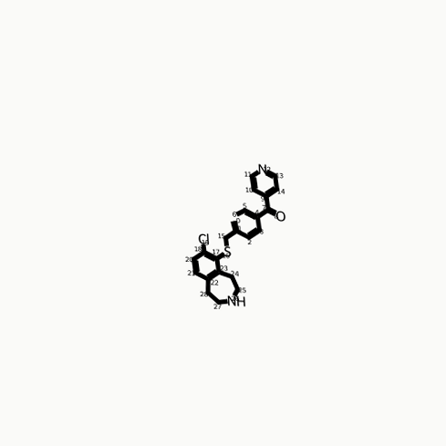 C=C(/C=C\C(=C/C)C(=O)c1ccncc1)CSc1c(Cl)ccc2c1CCNCC2